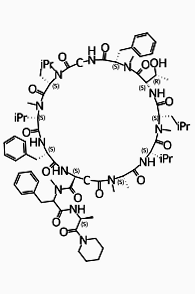 CC(C)C[C@H]1C(=O)N(C)[C@@H](C(C)C)C(=O)N[C@@H](Cc2ccccc2)C(=O)N[C@H](C(=O)N(C)C(Cc2ccccc2)C(=O)N[C@@H](C)C(=O)N2CCCCC2)CC(=O)N(C)[C@@H](C)C(=O)N[C@@H](C(C)C)C(=O)N(C)[C@@H](CC(C)C)C(=O)N[C@@H]([C@@H](C)O)C(=O)N(C)[C@@H](Cc2ccccc2)C(=O)NCC(=O)N1C